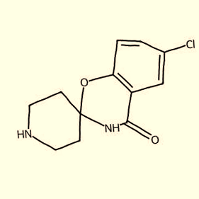 O=C1NC2(CCNCC2)Oc2ccc(Cl)cc21